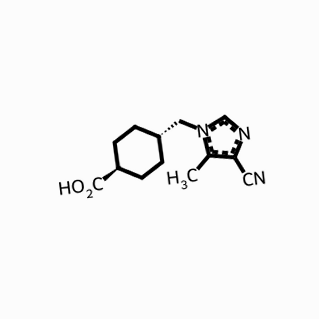 Cc1c(C#N)ncn1C[C@H]1CC[C@H](C(=O)O)CC1